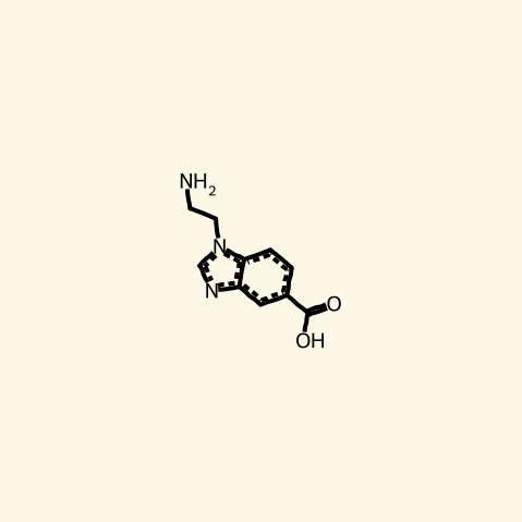 NCCn1cnc2cc(C(=O)O)ccc21